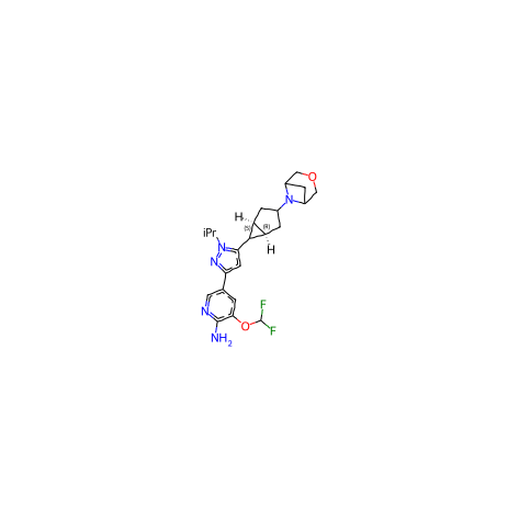 CC(C)n1nc(-c2cnc(N)c(OC(F)F)c2)cc1C1[C@H]2CC(N3C4COCC3C4)C[C@@H]12